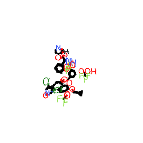 O=C(O)C(F)(F)F.O=C(OC(Cc1c(Cl)c[n+]([O-])cc1Cl)c1ccc(OC(F)F)c(OCC2CC2)c1)c1cccc(S(=O)(=O)NC(C(=O)O[C@H]2CN3CCC2CC3)c2ccccc2F)c1